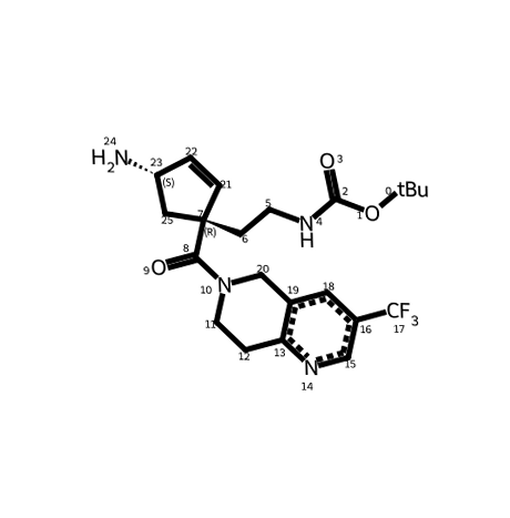 CC(C)(C)OC(=O)NCC[C@]1(C(=O)N2CCc3ncc(C(F)(F)F)cc3C2)C=C[C@@H](N)C1